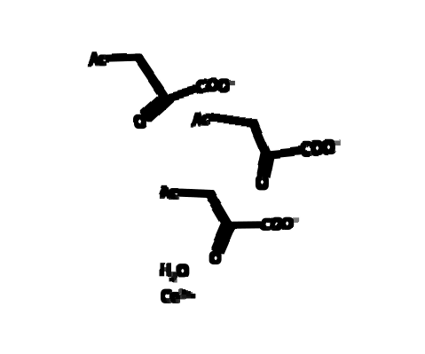 CC(=O)CC(=O)C(=O)[O-].CC(=O)CC(=O)C(=O)[O-].CC(=O)CC(=O)C(=O)[O-].O.[Ce+3]